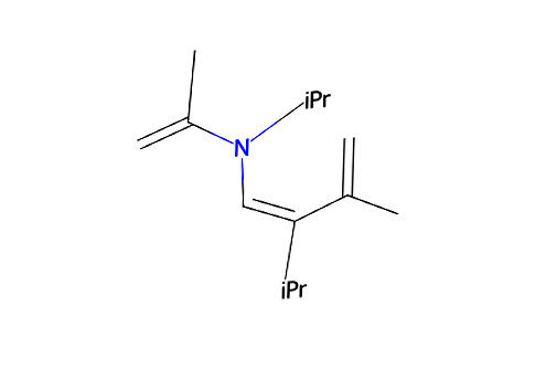 C=C(C)/C(=C\N(C(=C)C)C(C)C)C(C)C